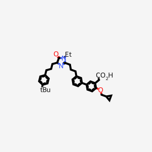 CCN1C(=O)C(CCCc2ccc(C(C)(C)C)cc2)N=C1CCCc1cccc(-c2ccc(OCC3CC3)c(CC(=O)O)c2)c1